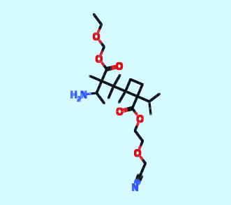 CCOCOC(=O)C(C)(C(C)N)C(C)(C)C1(C)CCC1(C(=O)OCCOCC#N)C(C)C